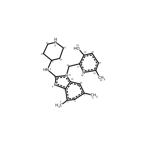 Cc1cc(C)c2nc(NC3CCNCC3)n(Cc3nc(C)ccc3O)c2c1